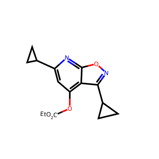 CCOC(=O)Oc1cc(C2CC2)nc2onc(C3CC3)c12